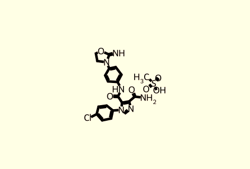 CS(=O)(=O)O.N=C1OCCN1c1ccc(NC(=O)c2c(C(N)=O)ncn2-c2ccc(Cl)cc2)cc1